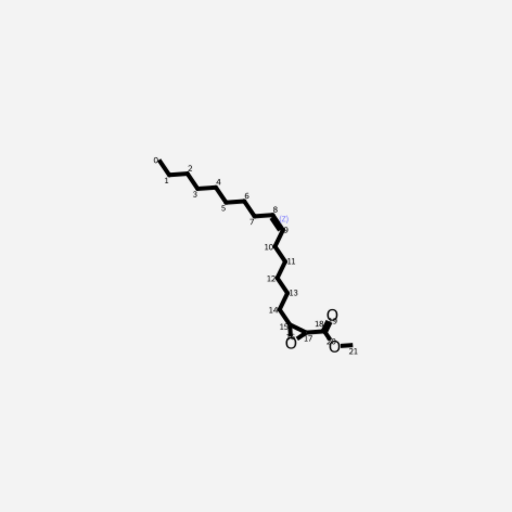 CCCCCCCC/C=C\CCCCCC1OC1C(=O)OC